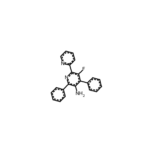 Nc1c(-c2ccccc2)nc(-c2ccccn2)c(F)c1-c1ccccc1